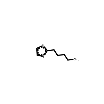 CCCCCc1nccs1